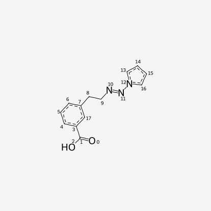 O=C(O)c1cccc(CCN=Nn2cccc2)c1